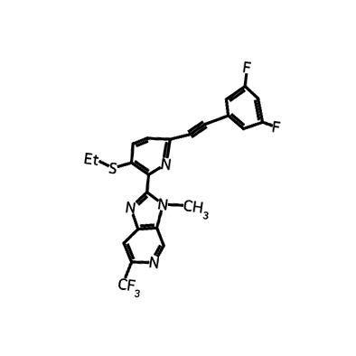 CCSc1ccc(C#Cc2cc(F)cc(F)c2)nc1-c1nc2cc(C(F)(F)F)ncc2n1C